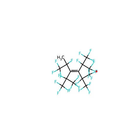 CC(F)(C(=C(C(F)(C(F)(F)F)C(F)(F)F)C(F)(C(F)(F)F)C(F)(F)F)C(F)(C(F)(F)F)C(F)(F)F)C(F)(F)F